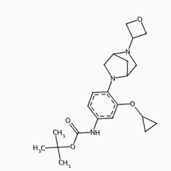 CC(C)(C)OC(=O)Nc1ccc(N2CC3CC2CN3C2COC2)c(OC2CC2)c1